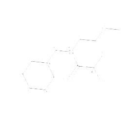 COCCN(CC1CCCCC1)C(=O)C(C)C